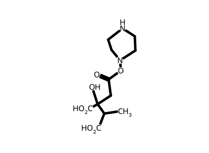 CC(C(=O)O)C(O)(CC(=O)ON1CCNCC1)C(=O)O